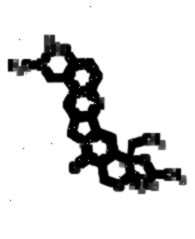 C=C1OCc2c(cc3n(c2=O)Cc2cc4c(CN(C)C)c(O)ccc4nc2-3)[C@]1(CC)OC(C)C